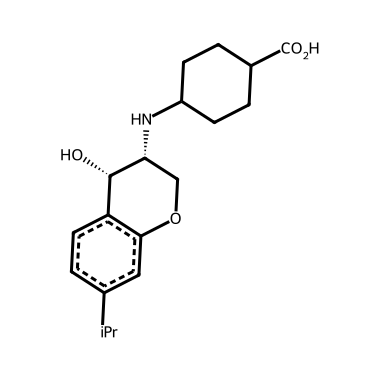 CC(C)c1ccc2c(c1)OC[C@@H](NC1CCC(C(=O)O)CC1)[C@H]2O